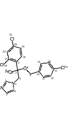 OC(Cn1ccnc1)(OCc1ccc(Cl)cc1)c1ccc(Cl)cc1Cl